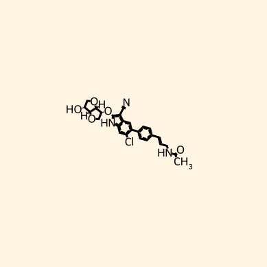 CC(=O)NC/C=C/c1ccc(-c2cc3c(C#N)c(O[C@@H]4CO[C@H]5[C@@H]4OC[C@H]5O)[nH]c3cc2Cl)cc1